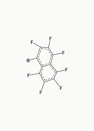 [B]c1c(F)c(F)c(F)c2c(F)c(F)c(F)c(F)c12